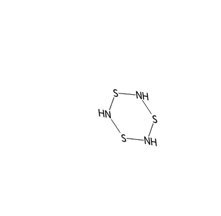 N1SNSNS1